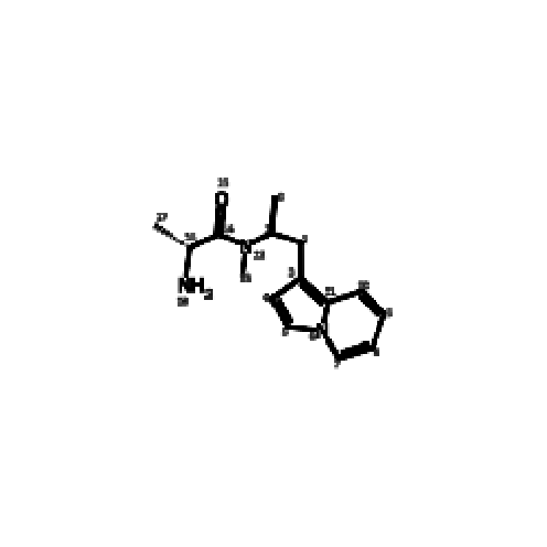 CC(Cc1ccn2ccccc12)N(C)C(=O)[C@@H](C)N